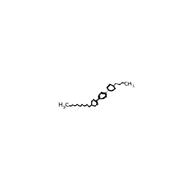 CCCCCCCCCCC1CC=C(c2ccc([C@H]3CC[C@H](CCCC)CC3)cc2)CC1